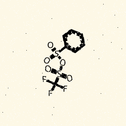 O=S(=O)(OS(=O)(=O)C(F)(F)F)c1ccccc1